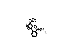 CCOC1=NOC(c2ccccc2C(N)=O)C1